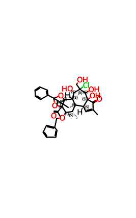 C=C(C)[C@@]12OC3(c4ccccc4)C[C@@]4([C@H]([C@H]1O3)[C@H](O)[C@](Cl)(CO)[C@@H](O)[C@]1(O)C(=O)C(C)=C[C@H]14)[C@H](C)[C@H]2OC(=O)c1ccccc1